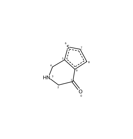 O=C1CNCc2s[c]cc21